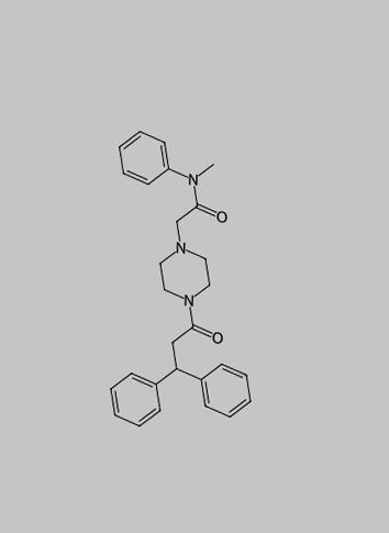 CN(C(=O)CN1CCN(C(=O)CC(c2ccccc2)c2ccccc2)CC1)c1ccccc1